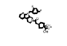 CC1(C(=O)O)CCC(CC(=O)N2CCc3c(n(Cc4ccc(F)cc4F)c4ncccc34)C2)CC1